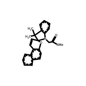 CNC(=O)CN1c2ccccc2C(C)(C)C12C=Cc1c(ccc3ccccc13)O2